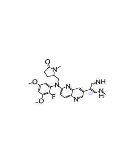 CN/C=C(\C=N)c1cnc2ccc(N(CC3CCC(=O)N3C)c3cc(OC)cc(OC)c3F)nc2c1